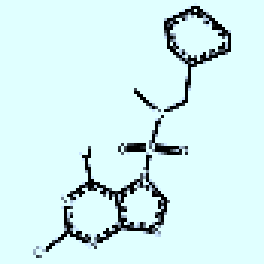 CN(Cc1ccccc1)S(=O)(=O)n1cnc2nc(Cl)nc(Cl)c21